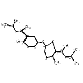 CC(C)CC(C)C1CC(CC2CCC(N)C(C(C)CC(C)C)C2)CCC1N